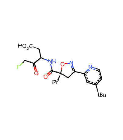 CC(C)[C@]1(C(=O)NC(CC(=O)O)C(=O)CF)CC(c2cc(C(C)(C)C)ccn2)=NO1